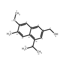 COc1cc2cc(CO)cc(C(C)C)c2cc1C